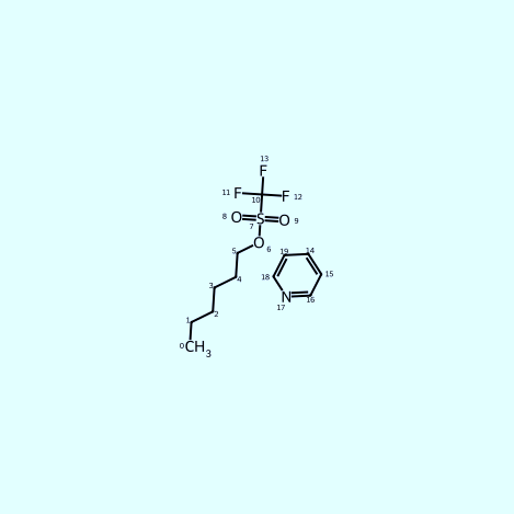 CCCCCCOS(=O)(=O)C(F)(F)F.c1ccncc1